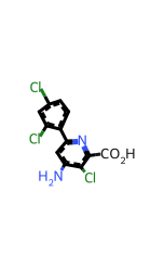 Nc1cc(-c2ccc(Cl)cc2Cl)nc(C(=O)O)c1Cl